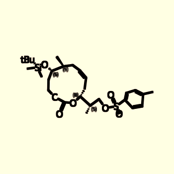 Cc1ccc(S(=O)(=O)OC[C@H](C)[C@H]2CC=CC[C@H](C)[C@@H](O[Si](C)(C)C(C)(C)C)CCCC(=O)O2)cc1